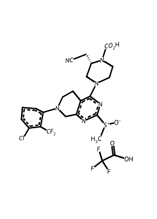 C[S+]([O-])c1nc2c(c(N3CCN(C(=O)O)[C@@H](CC#N)C3)n1)CCN(c1cccc(Cl)c1C(F)(F)F)C2.O=C(O)C(F)(F)F